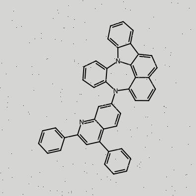 c1ccc(-c2cc(-c3ccccc3)c3ccc(-n4c5cccc6ccc7c8ccccc8n(c8ccccc84)c7c65)cc3n2)cc1